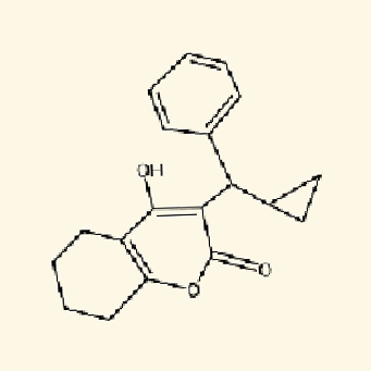 O=c1oc2c(c(O)c1C(c1ccccc1)C1CC1)CCCC2